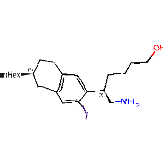 CCCCCC[C@H]1CCc2cc([C@H](CN)CCCCO)c(I)cc2C1